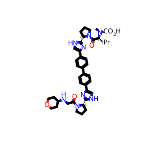 CC(C)[C@@H](C(=O)N1CCC[C@H]1c1nc(-c2ccc(-c3ccc(-c4c[nH]c([C@@H]5CCCN5C(=O)CNC5CCOCC5)n4)cc3)cc2)c[nH]1)N(C)C(=O)O